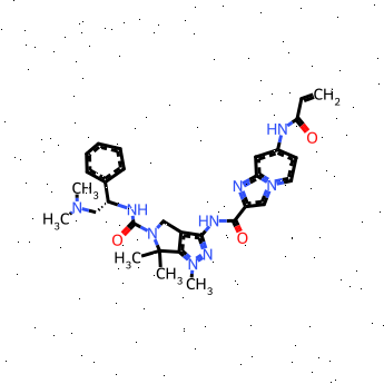 C=CC(=O)Nc1ccn2cc(C(=O)Nc3nn(C)c4c3CN(C(=O)N[C@H](CN(C)C)c3ccccc3)C4(C)C)nc2c1